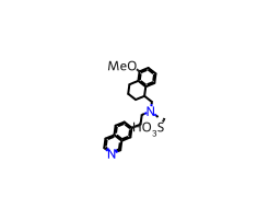 COc1cccc2c1CCCC2CN(C)CCc1ccc2ccncc2c1.CS(=O)(=O)O